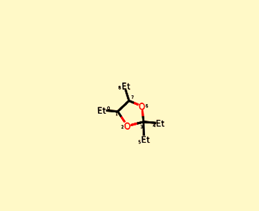 CCC1OC(CC)(CC)OC1CC